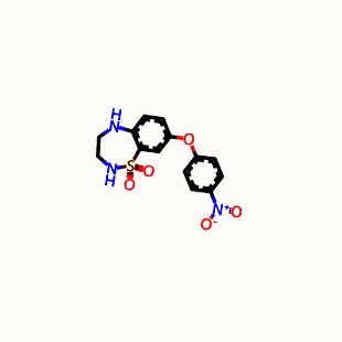 O=[N+]([O-])c1ccc(Oc2ccc3c(c2)S(=O)(=O)NCCN3)cc1